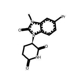 CC(C)c1ccc2c(c1)n(C)c(=O)n2[C@@H]1CCC(=O)NC1=O